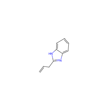 C=CCc1nc2cc[c]cc2[nH]1